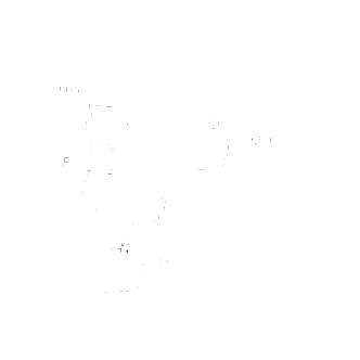 O=C(O)CCCC=CCN1C(=O)CCC[C@@H]1C=CCC(F)(F)c1cccc(O)c1